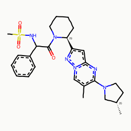 Cc1cn2nc([C@@H]3CCCCN3C(=O)C(NS(C)(=O)=O)c3ccccc3)cc2nc1N1CC[C@H](C)C1